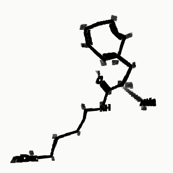 CCCCCCCCCCCCCCNC(=O)[C@H](Cc1ccccc1)NC